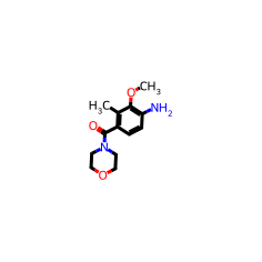 COc1c(N)ccc(C(=O)N2CCOCC2)c1C